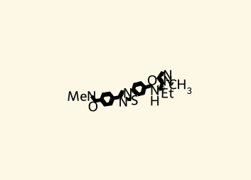 CC[C@H](NC(=O)c1ccc2c(c1)sc1nc(-c3ccc(C(=O)NC)cc3)cn12)c1ccnn1C